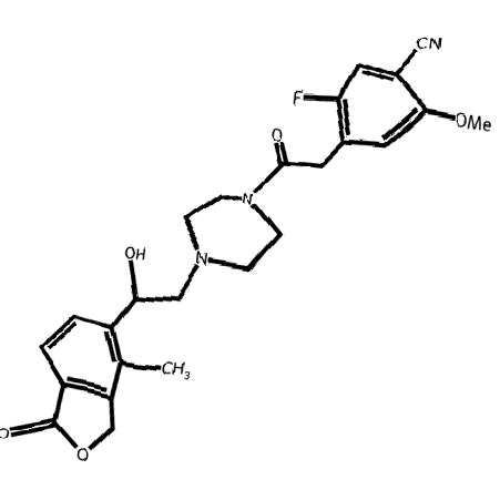 COc1cc(CC(=O)N2CCN(CC(O)c3ccc4c(c3C)COC4=O)CC2)c(F)cc1C#N